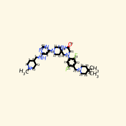 CN1CCC(CNc2cc(N3CCC4(CC3)CN(c3cc(F)c(CN5CCC(C)(C)CC5)cc3F)CC(=O)N4)ncn2)CC1